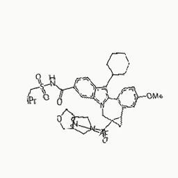 COc1ccc2c(c1)C1CC1(C(=O)N1CC34COCC3(CN(C(C)=O)C4)C1)Cn1c-2c(C2CCCCC2)c2ccc(C(=O)NS(=O)(=O)CC(C)C)cc21